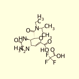 CCN(C(=O)[C@@H]1OC(C(=O)O)=C[C@H](N)[C@H]1NC(C)=O)C(C)C.O=C(O)C(F)(F)F